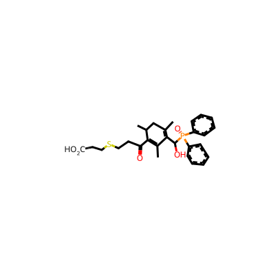 CC1=C(C(O)P(=O)(c2ccccc2)c2ccccc2)C(C)=C(C(=O)CCSCCC(=O)O)C(C)C1